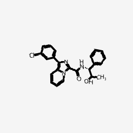 CC(O)[C@H](NC(=O)c1nc(-c2cccc(Cl)c2)c2ccccn12)c1ccccc1